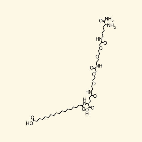 NC(=O)[C@@H](N)CCCCNC(=O)COCCOCCNC(=O)COCCOCCNC(=O)CC[C@H](NC(=O)CCCCCCCCCCCCCCCCC(=O)O)C(=O)O